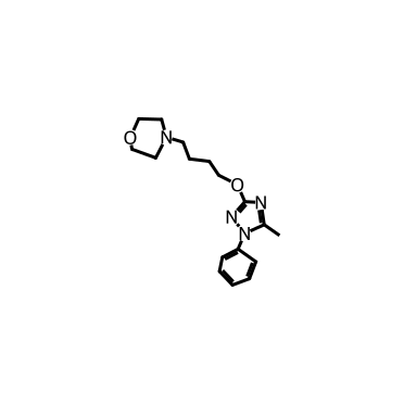 Cc1nc(OCCCCN2CCOCC2)nn1-c1ccccc1